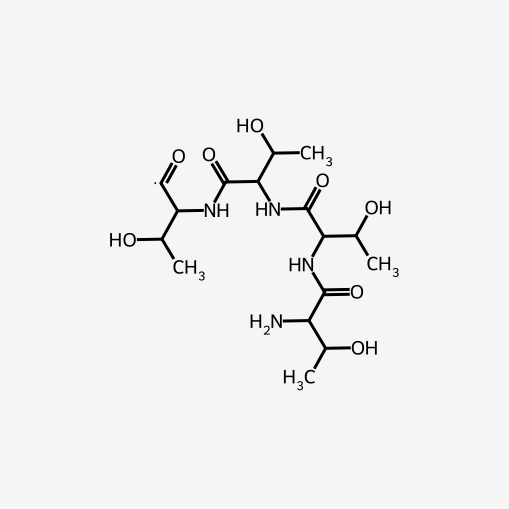 CC(O)C([C]=O)NC(=O)C(NC(=O)C(NC(=O)C(N)C(C)O)C(C)O)C(C)O